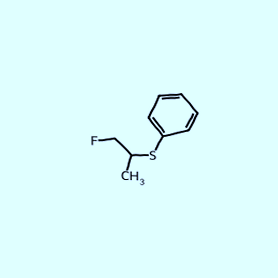 CC(CF)Sc1ccccc1